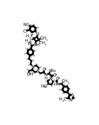 Cc1ncsc1-c1ccc([C@H](C)NC(=O)[C@@H]2C[C@@H](O)CN2C(=O)C(NC(=O)CN2CCN(CCCc3ccc(C(=O)NC4C(C)(C)C(Oc5ccc(C#N)c(Cl)c5)C4(C)C)cc3)C(CO)C2)C(C)(C)C)cc1